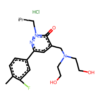 Cc1ccc(-c2cc(CN(CCO)CCO)c(=O)n(CC(C)C)n2)cc1F.Cl